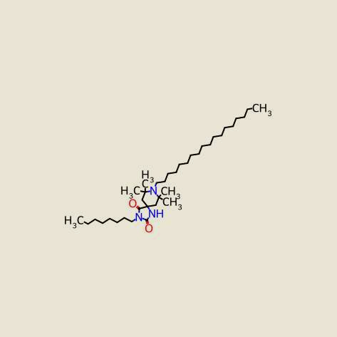 CCCCCCCCCCCCCCCCCCN1C(C)(C)CC2(CC1(C)C)NC(=O)N(CCCCCCCC)C2=O